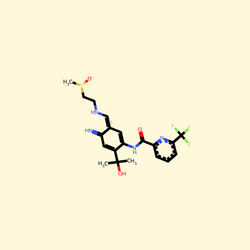 C[S+]([O-])CCN/C=C1/C=C(NC(=O)c2cccc(C(F)(F)F)n2)C(C(C)(C)O)=CC1=N